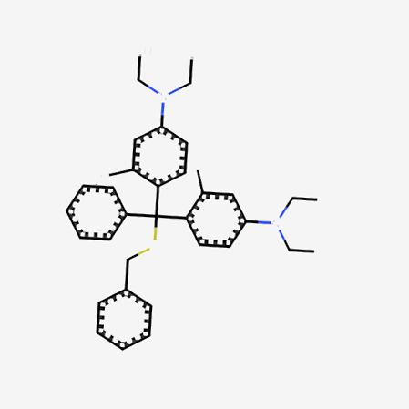 CCN(CC)c1ccc(C(SCc2ccccc2)(c2ccccc2)c2ccc(N(CC)CC)cc2C)c(C)c1